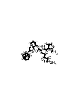 CNC(=O)C(=O)CC[C@H](NC(=O)c1c(I)cnn1C)C(=O)Nc1cccn(CC(=O)NC2C3CC4CC(C3)C2C4)c1=O